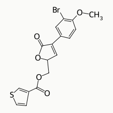 COc1ccc(C2=CC(COC(=O)c3ccsc3)OC2=O)cc1Br